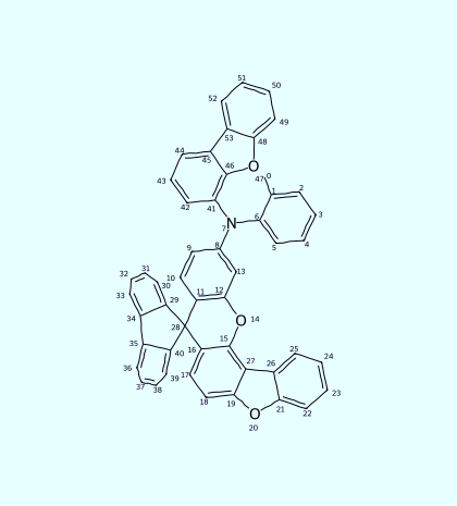 Cc1ccccc1N(c1ccc2c(c1)Oc1c(ccc3oc4ccccc4c13)C21c2ccccc2-c2ccccc21)c1cccc2c1oc1ccccc12